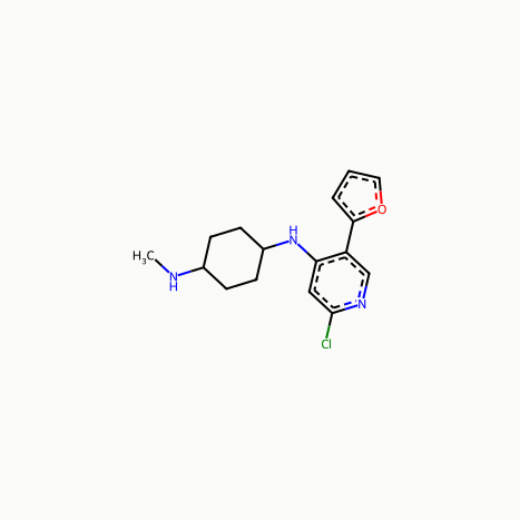 CNC1CCC(Nc2cc(Cl)ncc2-c2ccco2)CC1